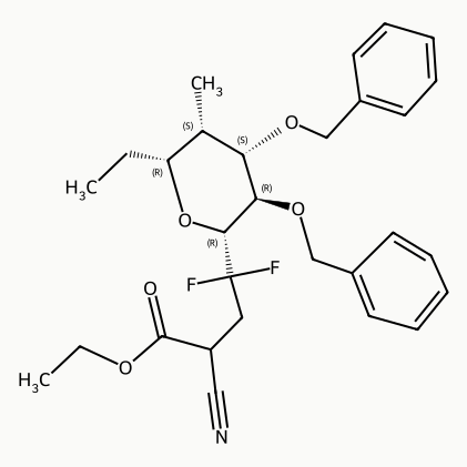 CCOC(=O)C(C#N)CC(F)(F)[C@@H]1O[C@H](CC)[C@H](C)[C@H](OCc2ccccc2)[C@H]1OCc1ccccc1